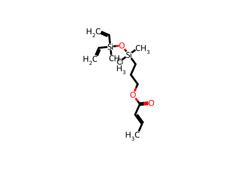 C=C[Si](C)(C=C)O[Si](C)(C)CCCOC(=O)C=CC